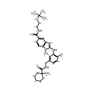 Cn1c(Nc2cc(CNC(=O)C3(C)CCCCC3)ccc2Cl)nc2cc(C(=O)NCCOC(C)(C)C)ccc21